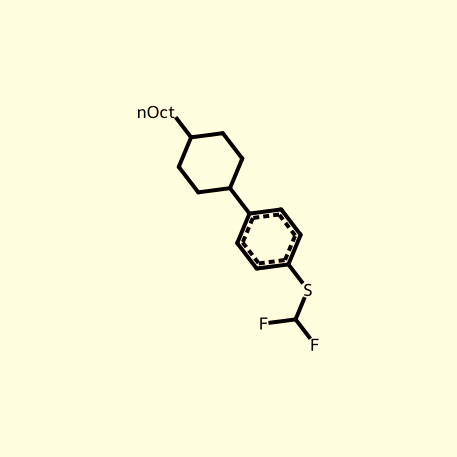 CCCCCCCCC1CCC(c2ccc(SC(F)F)cc2)CC1